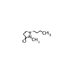 CCCC[C@H]1CCC(=O)N1C